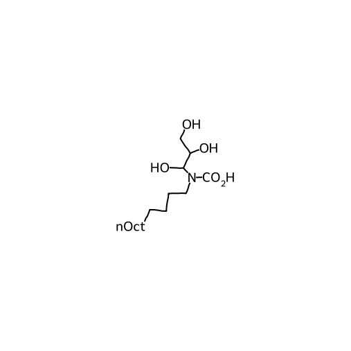 CCCCCCCCCCCCN(C(=O)O)C(O)C(O)CO